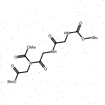 COC(=O)CN(C(=O)CNC(=O)CNC(=O)OC(C)(C)C)C(=O)OC